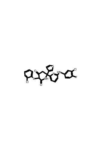 O=C1CC(c2ccsc2)(c2cccc(Nc3ccc(F)c(Cl)c3)n2)NC(=O)C1Sc1ccccc1Cl